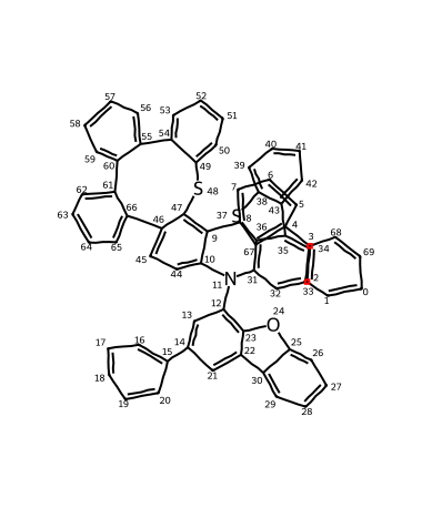 c1ccc(-c2cccc(-c3c(N(c4cc(-c5ccccc5)cc5c4oc4ccccc45)c4cccc5c4sc4ccccc45)ccc4c3sc3ccccc3c3ccccc3c3ccccc43)c2)cc1